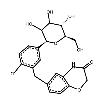 O=C1COc2ccc(Cc3cc([C@@H]4O[C@H](CO)[C@@H](O)C(O)C4O)ccc3Cl)cc2N1